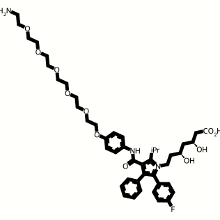 CC(C)c1c(C(=O)Nc2ccc(OCCOCCOCCOCCOCCOCCN)cc2)c(-c2ccccc2)c(-c2ccc(F)cc2)n1CC[C@@H](O)C[C@@H](O)CC(=O)O